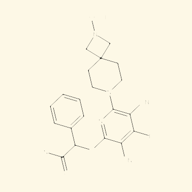 CCc1c(C#N)c(SC(C(N)=O)c2ccccc2)nc(N2CCC3(CC2)CN(C(=O)O)C3)c1C#N